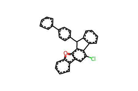 Clc1cc2c(oc3ccccc32)c2c1-c1ccccc1C2c1ccc(-c2ccccc2)cc1